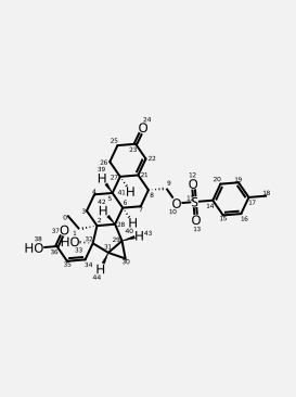 CC[C@]12CC[C@H]3[C@@H](C[C@@H](COS(=O)(=O)c4ccc(C)cc4)C4=CC(=O)CC[C@@H]43)[C@@H]1[C@@H]1C[C@@H]1[C@@]2(O)/C=C\C(=O)O